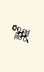 CCOC(=O)C(O)C(O)C(=O)ON1CCCC1